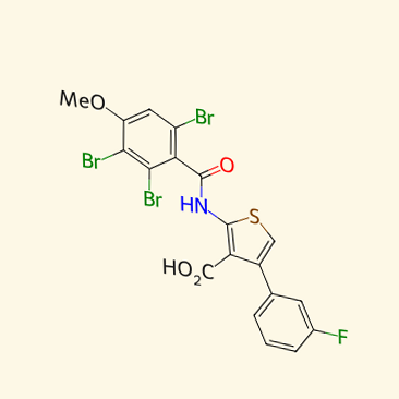 COc1cc(Br)c(C(=O)Nc2scc(-c3cccc(F)c3)c2C(=O)O)c(Br)c1Br